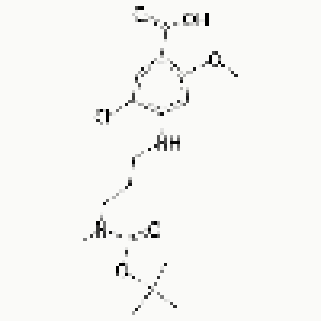 COc1cc(NCCCN(C)C(=O)OC(C)(C)C)c(Cl)cc1C(=O)O